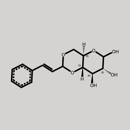 OC1O[C@@H]2COC(C=Cc3ccccc3)O[C@H]2[C@H](O)[C@H]1O